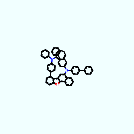 C1=CCC=CC(N(c2ccccc2)c2ccc(-c3cccc4oc5c6ccccc6c(N(C6=CCC(c7ccccc7)C=C6)c6ccc(-c7ccccc7)cc6)cc5c34)cc2)=C1